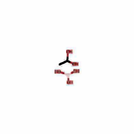 CC(O)O.OB(O)O